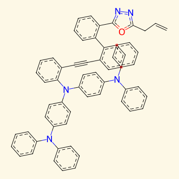 C=CCc1nnc(-c2ccccc2-c2ccccc2C#Cc2ccccc2N(c2ccc(N(c3ccccc3)c3ccccc3)cc2)c2ccc(N(c3ccccc3)c3ccccc3)cc2)o1